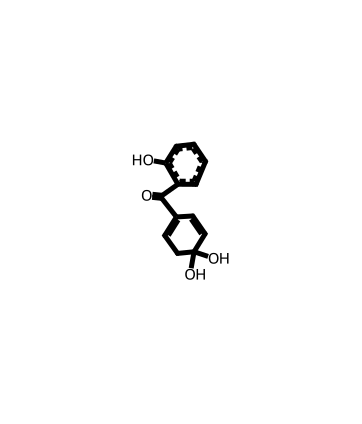 O=C(C1=CCC(O)(O)C=C1)c1ccccc1O